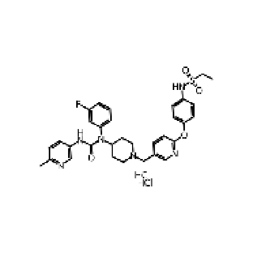 CCS(=O)(=O)Nc1ccc(Oc2ccc(CN3CCC(N(C(=O)Nc4ccc(C)nc4)c4cccc(F)c4)CC3)cn2)cc1.Cl.Cl